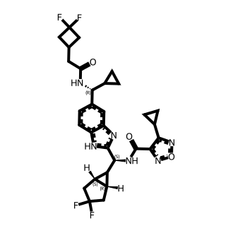 O=C(CC1CC(F)(F)C1)N[C@@H](c1ccc2[nH]c([C@@H](NC(=O)c3nonc3C3CC3)C3[C@H]4CC(F)(F)C[C@@H]34)nc2c1)C1CC1